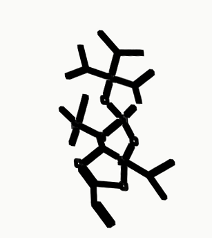 C=CC(=O)O[Si](O[Si](C)(O[Si](C)(C)C)O[Si](C(C)C)(C(C)C)C(C)C)(C(C)C)C(C)C